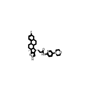 C[C@]12CCC3C4=CC=C(F)CC4CCC3C1[C@H](CCC(=O)Nc1ccc(N3CCOCC3)cn1)c1c[nH]nc12